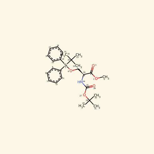 COC(=O)[C@H](CO[Si](c1ccccc1)(c1ccccc1)C(C)(C)C)NC(=O)OC(C)(C)C